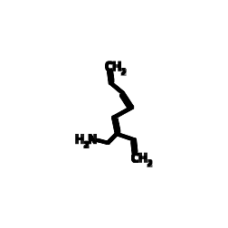 C=C/C=C\C=C(/C=C)CN